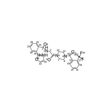 O=C(NCC(=O)N1CCN(C(=O)c2ccccc2C(F)(F)F)CC1)c1ccccc1N1NC=CO1